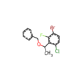 CC(OCc1ccccc1)c1c(Cl)ccc(Br)c1F